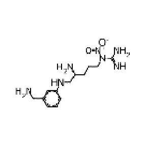 N=C(N)N(CCC[C@H](N)CNc1cccc(CN)c1)[N+](=O)[O-]